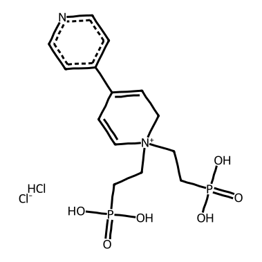 Cl.O=P(O)(O)CC[N+]1(CCP(=O)(O)O)C=CC(c2ccncc2)=CC1.[Cl-]